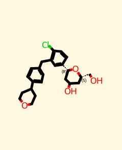 OC[C@@H]1CC(O)C[C@H](c2ccc(Cl)c(Cc3ccc(C4CCOCC4)cc3)c2)O1